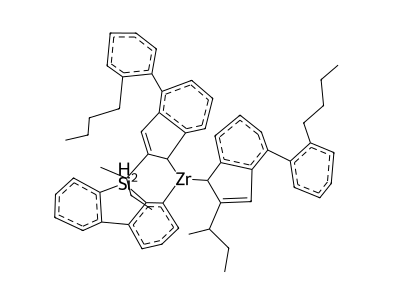 CCCCc1ccccc1-c1cccc2c1C=C(C(C)CC)[CH]2[Zr]([c]1cccc2c1[SiH2]c1ccccc1-2)[CH]1C(C(C)CC)=Cc2c(-c3ccccc3CCCC)cccc21